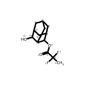 CC(F)(F)C(=O)OC1C2CC3CC(C2)C(O)C1C3